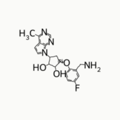 Cc1ncnc2c1ccn2C1C[C@@H](Oc2ccc(F)cc2CN)C(O)C1O